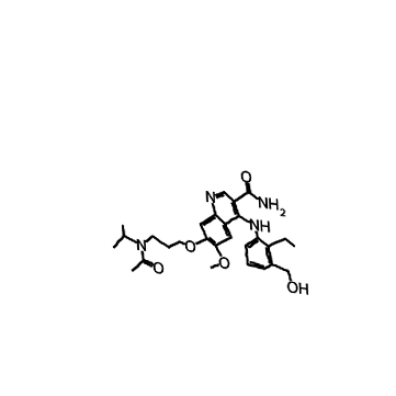 CCc1c(CO)cccc1Nc1c(C(N)=O)cnc2cc(OCCCN(C(C)=O)C(C)C)c(OC)cc12